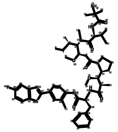 CC[C@H](C)[C@@H]([C@@H](CC(=O)N1CCC[C@H]1[C@H](OC)[C@@H](C)C(=O)N[C@@H](Cc1ccccc1)C(=O)Nc1ccc(-c2nc3cc(F)ccc3s2)cc1C)OC)N(C)C(=O)[C@@H](NC(=O)C(C)(C)N)C(C)C